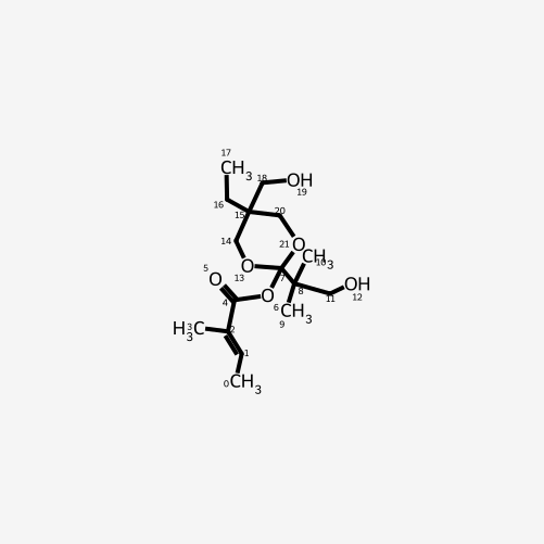 CC=C(C)C(=O)OC1(C(C)(C)CO)OCC(CC)(CO)CO1